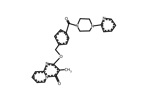 Cc1c(OCc2ccc(C(=O)N3CCN(c4ccccn4)CC3)cc2)nc2ccccn2c1=O